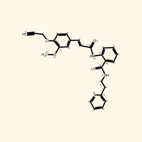 C#CCOc1ccc(/C=C/C(=O)Nc2ccccc2C(=O)NCCc2ccccn2)cc1OC